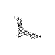 Oc1ccc(/N=N/c2ccc(C(c3ccccc3)c3ccc(/N=N/c4ccc(O)cc4)cc3)cc2)cc1